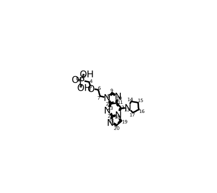 O=P(O)(O)COCCn1cnc2c(N3CCCC3)n3ccnc3nc21